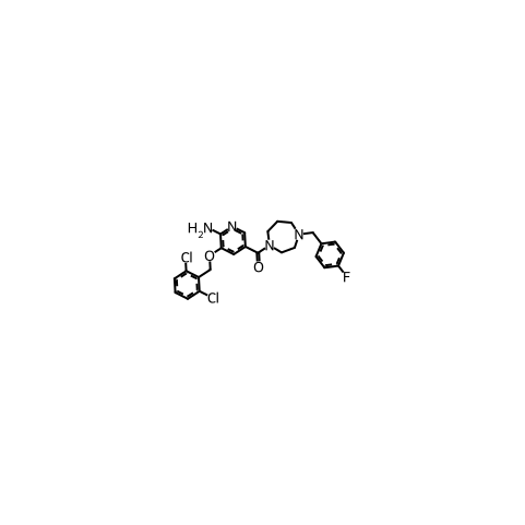 Nc1ncc(C(=O)N2CCCN(Cc3ccc(F)cc3)CC2)cc1OCc1c(Cl)cccc1Cl